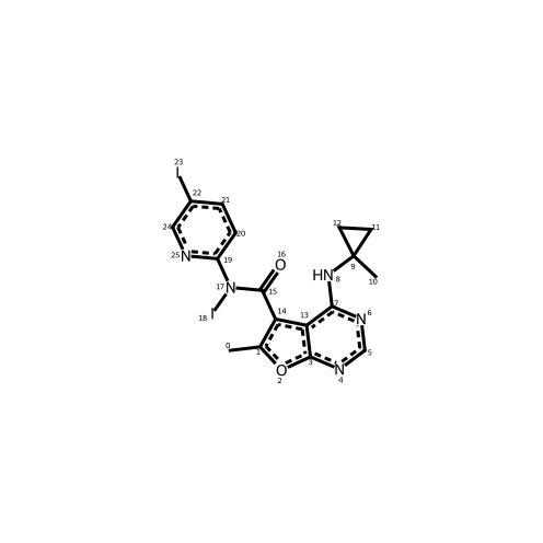 Cc1oc2ncnc(NC3(C)CC3)c2c1C(=O)N(I)c1ccc(I)cn1